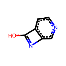 OC1=Nc2cnccc21